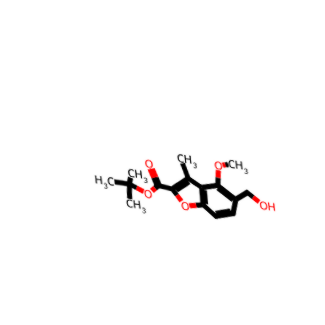 COc1c(CO)ccc2oc(C(=O)OC(C)(C)C)c(C)c12